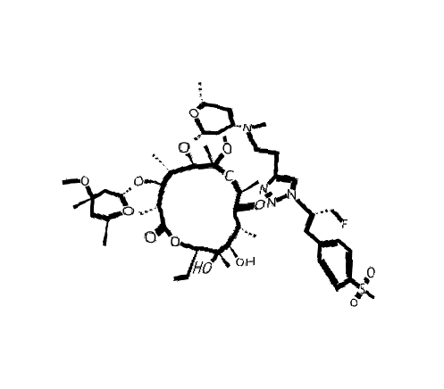 CC[C@H]1OC(=O)[C@H](C)[C@@H](O[C@H]2C[C@@](C)(OC)C[C@H](C)O2)[C@H](C)[C@@H](O[C@H]2C[C@@H](N(C)CCc3cn([C@H](CF)Cc4ccc(S(C)(=O)=O)cc4)nn3)C[C@@H](C)O2)[C@](C)(OC)C[C@@H](C)C(=O)[C@H](C)[C@@H](O)[C@]1(C)O